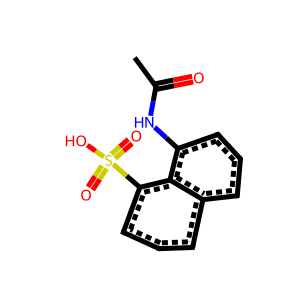 CC(=O)Nc1cccc2cccc(S(=O)(=O)O)c12